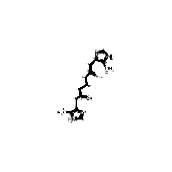 Cc1[nH]cnc1CC(=S)CCCC(=S)Cc1nc[nH]c1C